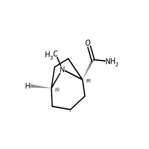 CN1[C@H]2C[CH]C[C@]1(C(N)=O)CC2